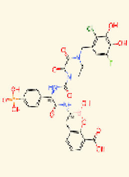 O=C(O)c1cccc2c1OB(O)[C@@H](NC(=O)[C@H](NC(=O)N1CCN(Cc3cc(F)c(O)c(O)c3Cl)C(=O)C1=O)c1ccc(P(=O)(O)O)cc1)C2